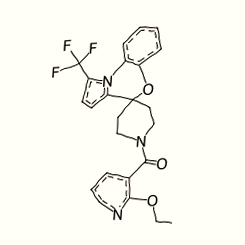 CCOc1ncccc1C(=O)N1CCC2(CC1)Oc1ccccc1-n1c(C(F)(F)F)ccc12